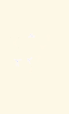 CC(=O)Oc1cnc2c(c1C1=NC(=O)C3(C=C4CC=CC=C4C3)O1)C1(CCNCC1)OC2(C)C